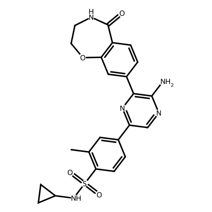 Cc1cc(-c2cnc(N)c(-c3ccc4c(c3)OCCNC4=O)n2)ccc1S(=O)(=O)NC1CC1